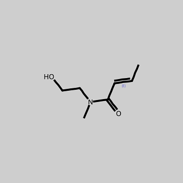 C/C=C/C(=O)N(C)CCO